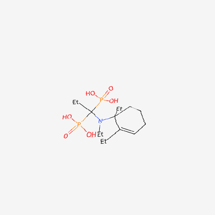 CCC1=CCCCC1(CC)N(CC)C(CC)(P(=O)(O)O)P(=O)(O)O